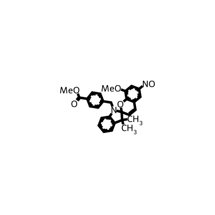 COC(=O)c1ccc(CN2c3ccccc3C(C)(C)C23C=Cc2cc(N=O)cc(OC)c2O3)cc1